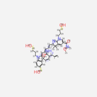 C=C/C=C(\C=C/C1(C)\C(=C/C=C/C=C/C2=NC3C(=CC(C(=O)N(C)OC)=CN3CCCSO)C2(C)C)N(CCCSO)c2ccc(SO)cc21)C(N)=O